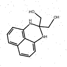 OCC1(CO)Nc2cccc3cccc(c23)N1